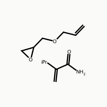 C=C(C(N)=O)C(C)C.C=CCOCC1CO1